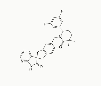 CC1(C)CC[C@@H](c2cc(F)cc(F)c2)N(Cc2ccc3c(c2)C[C@@]2(C3)C(=O)Nc3ncccc32)C1=O